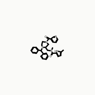 Cc1ccc(C(=O)N(C)CC2CN(C(=O)c3cccnc3)CCN2C(c2ccccc2)c2ccccc2)[nH]1